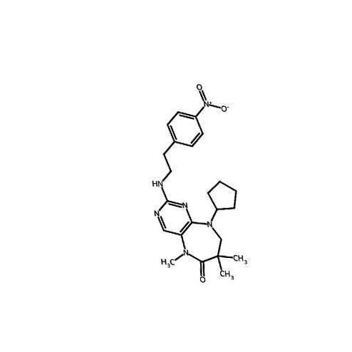 CN1C(=O)C(C)(C)CN(C2CCCC2)c2nc(NCCc3ccc([N+](=O)[O-])cc3)ncc21